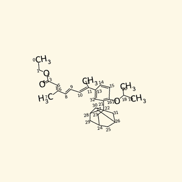 CCOC(=O)C=C(C)C=CC=C(C)c1ccc(OC(C)C)c(C23CC4CC(CC(C4)C2)C3)c1